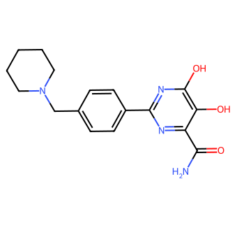 NC(=O)c1nc(-c2ccc(CN3CCCCC3)cc2)nc(O)c1O